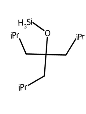 CC(C)CC(CC(C)C)(CC(C)C)O[SiH3]